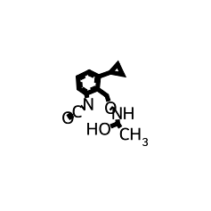 CC(O)NOCc1c(N=C=O)cccc1C1CC1